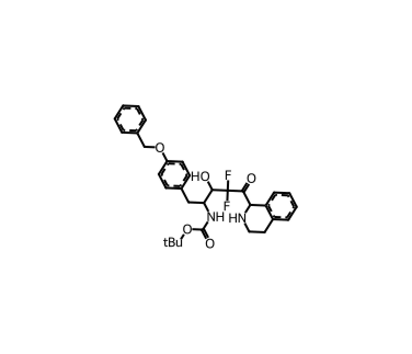 CC(C)(C)OC(=O)NC(Cc1ccc(OCc2ccccc2)cc1)C(O)C(F)(F)C(=O)C1NCCc2ccccc21